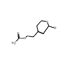 CC(=O)OCCC1CCOC([O])C1